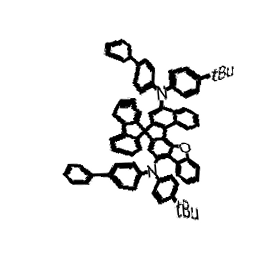 CC(C)(C)c1ccc(N(c2ccc(-c3ccccc3)cc2)c2cc3c(c4ccccc24)-c2c(cc(N(c4ccc(-c5ccccc5)cc4)c4ccc(C(C)(C)C)cc4)c4c2oc2ccccc24)C32c3ccccc3-c3ccccc32)cc1